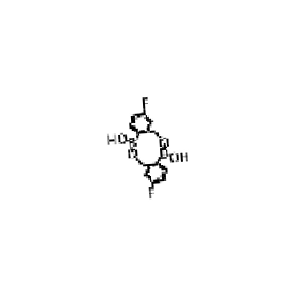 OB1OCc2cc(F)ccc2B(O)OCc2cc(F)ccc21